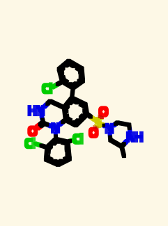 CC1CN(S(=O)(=O)c2cc(-c3ccccc3Cl)c3c(c2)N(c2c(Cl)cccc2Cl)C(=O)NC3)CCN1